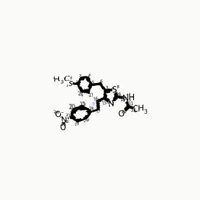 CSc1ccc(Cc2sc(NC(C)=O)nc2/C=C/c2ccc([N+](=O)[O-])cc2)cc1